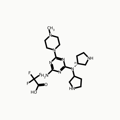 CN1CCN(c2nc(N)nc(N(C3CCNC3)[C@@H]3CCNC3)n2)CC1.O=C(O)C(F)(F)F